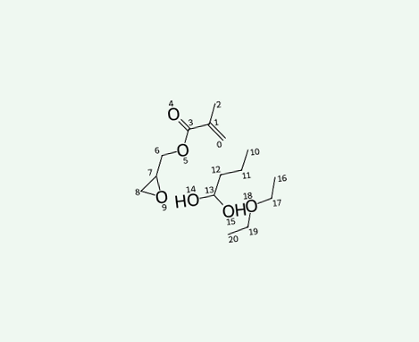 C=C(C)C(=O)OCC1CO1.CCCC(O)O.CCOCC